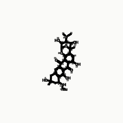 CCCCNC1CC(C)(O)Cc2cc3c(c(O)c21)C(=O)c1c(O)cc2c(c1C3=O)OC1OC2(C)C(O)C(N(C)C)C1O